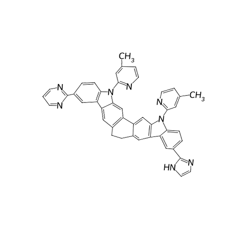 Cc1ccnc(-n2c3ccc(-c4ncccn4)cc3c3cc4c(cc32)-c2cc3c(cc2CC4)c2cc(-c4ncc[nH]4)ccc2n3-c2cc(C)ccn2)c1